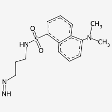 CN(C)c1cccc2c(S(=O)(=O)NCCCN=N)cccc12